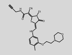 C#CCNC(=O)C(C#N)=c1sc(=CNc2ccc(C)c(OCCN3CCOCC3)c2)c(=O)n1CC